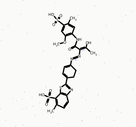 COc1cc(S(=O)(=O)O)c(C)cc1NC(=O)C(/N=N/C1=CC=C(c2nc3ccc(C)c(S(=O)(=O)O)c3s2)CC1)=C(/C)O